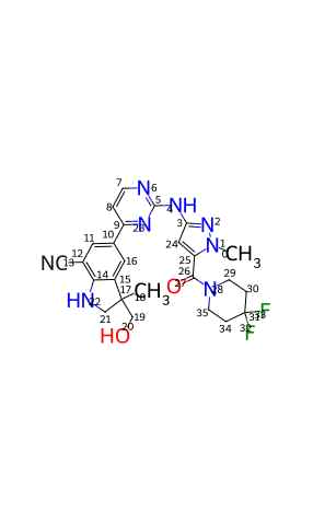 Cn1nc(Nc2nccc(-c3cc(C#N)c4c(c3)C(C)(CO)CN4)n2)cc1C(=O)N1CCC(F)(F)CC1